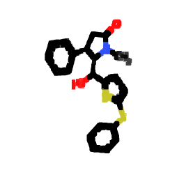 CN1C(=O)C[C@H](c2ccccc2)[C@@H]1C(O)c1ccc(Sc2ccccc2)s1